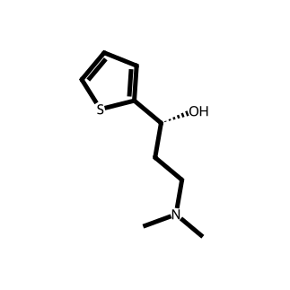 CN(C)CC[C@@H](O)c1cccs1